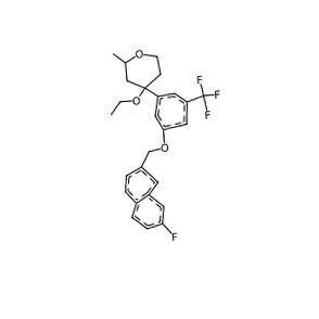 CCOC1(c2cc(OCc3ccc4ccc(F)cc4c3)cc(C(F)(F)F)c2)CCOC(C)C1